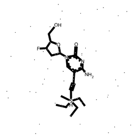 CC[SH](C)(C#Cc1cn(C2CC(F)C(CO)O2)c(=O)nc1N)(CC)CC